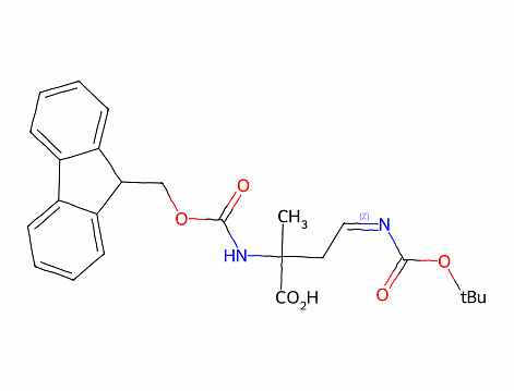 CC(C)(C)OC(=O)/N=C\CC(C)(NC(=O)OCC1c2ccccc2-c2ccccc21)C(=O)O